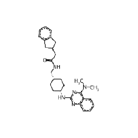 CN(C)c1nc(N[C@H]2CC[C@@H](CNC(=O)CC3Cc4ccccc4C3)CC2)nc2ccccc12